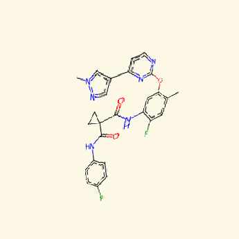 Cc1cc(F)c(NC(=O)C2(C(=O)Nc3ccc(F)cc3)CC2)cc1Oc1nccc(-c2cnn(C)c2)n1